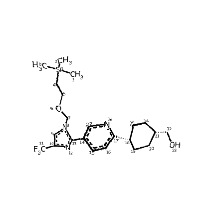 C[Si](C)(C)CCOCn1cc(C(F)(F)F)nc1-c1ccc([C@H]2CC[C@@H](CO)CC2)nc1